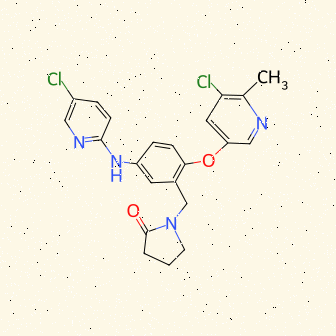 Cc1ncc(Oc2ccc(Nc3ccc(Cl)cn3)cc2CN2CCCC2=O)cc1Cl